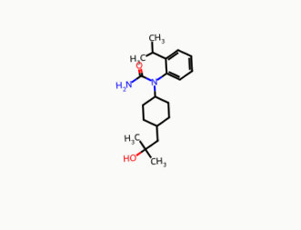 CC(C)c1ccccc1N(C(N)=O)C1CCC(CC(C)(C)O)CC1